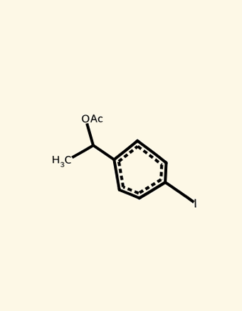 CC(=O)OC(C)c1ccc(I)cc1